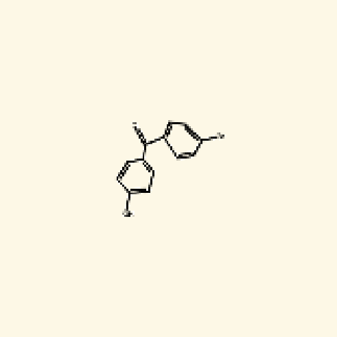 O=C(c1ccc(O)cc1)c1ccc(Br)cc1